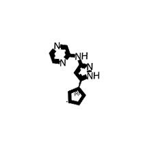 [CH]1CC[C@H](c2cc(Nc3cnccn3)n[nH]2)C1